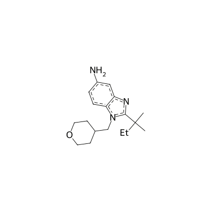 CCC(C)(C)c1nc2cc(N)ccc2n1CC1CCOCC1